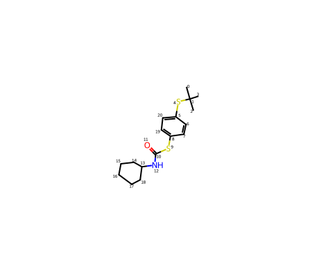 CC(C)(C)Sc1ccc(SC(=O)NC2CCCCC2)cc1